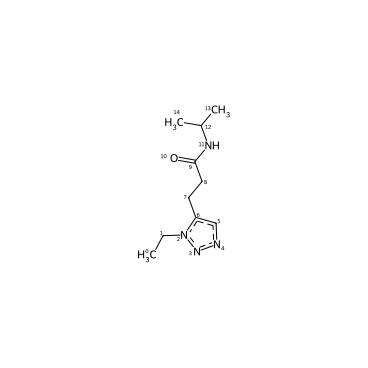 CCn1nncc1CCC(=O)NC(C)C